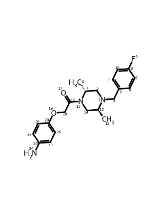 C[C@@H]1CN(Cc2ccc(F)cc2)[C@@H](C)CN1C(=O)COc1ccc(N)cc1